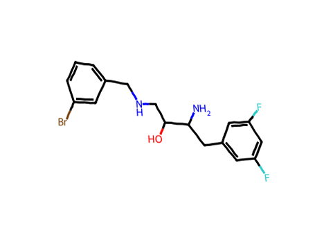 NC(Cc1cc(F)cc(F)c1)C(O)CNCc1cccc(Br)c1